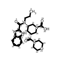 CCCN(C(=O)c1nc2ccccc2[nH]1)[C@H]1C[C@@H](C(=O)N2CCOCC2)CN(C(=O)O)C1